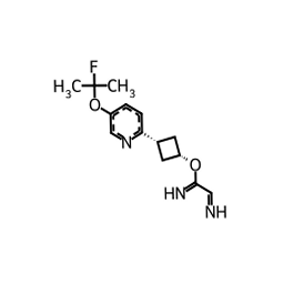 CC(C)(F)Oc1ccc([C@H]2C[C@@H](OC(=N)C=N)C2)nc1